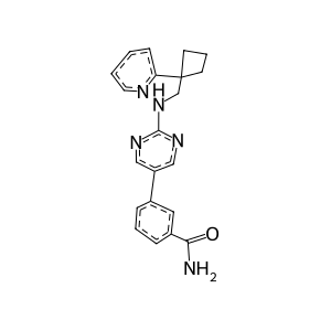 NC(=O)c1cccc(-c2cnc(NCC3(c4ccccn4)CCC3)nc2)c1